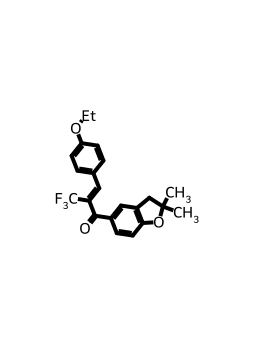 CCOc1ccc(C=C(C(=O)c2ccc3c(c2)CC(C)(C)O3)C(F)(F)F)cc1